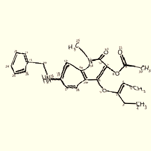 CC=C(CC)Oc1c(OC(C)=O)c(=O)n(C)c2cc(NCc3ccccc3)ccc12